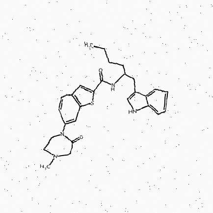 CCCCC(Cc1c[nH]c2ccccc12)NC(=O)c1cc2ccc(N3CCN(C)CC3=O)cc2s1